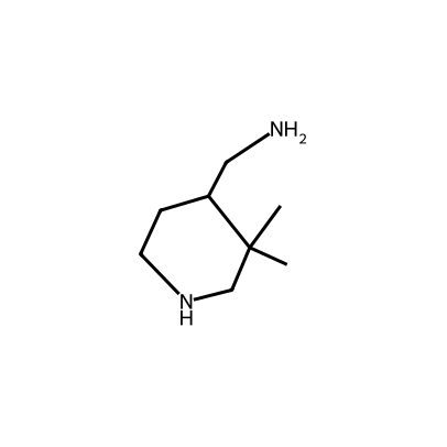 CC1(C)CNCCC1CN